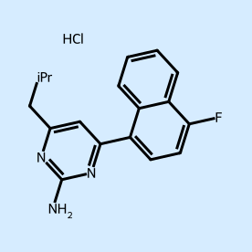 CC(C)Cc1cc(-c2ccc(F)c3ccccc23)nc(N)n1.Cl